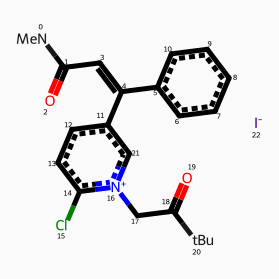 CNC(=O)/C=C(/c1ccccc1)c1ccc(Cl)[n+](CC(=O)C(C)(C)C)c1.[I-]